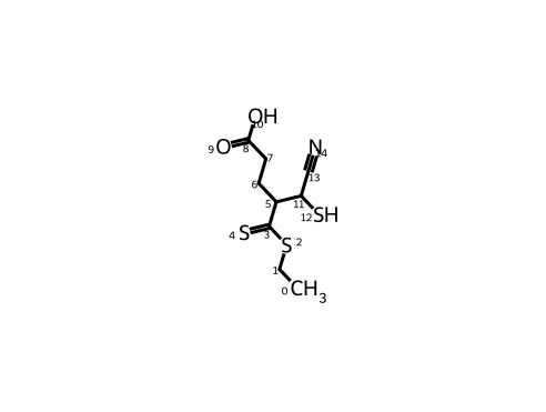 CCSC(=S)C(CCC(=O)O)C(S)C#N